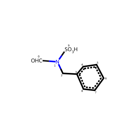 O=CN(Cc1ccccc1)S(=O)(=O)O